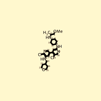 COC[C@H](C)N[C@H]1CC[C@H](Nc2cc(-c3cnc(Cl)c(NCC4CCOCC4)c3)c(Cl)cn2)CC1